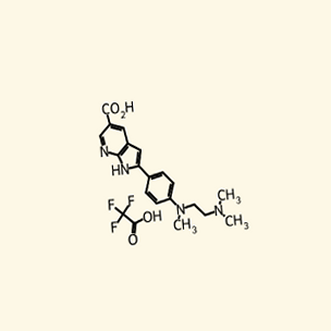 CN(C)CCN(C)c1ccc(-c2cc3cc(C(=O)O)cnc3[nH]2)cc1.O=C(O)C(F)(F)F